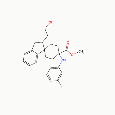 COC(=O)C1(Nc2cccc(Cl)c2)CCC2(CC1)c1ccccc1CC2CCO